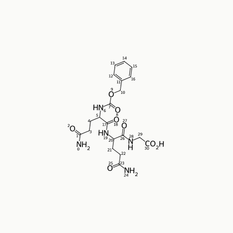 NC(=O)CCC(NC(=O)OCc1ccccc1)C(=O)NC(CCC(N)=O)C(=O)NCC(=O)O